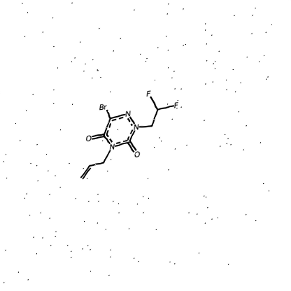 C=CCn1c(=O)c(Br)nn(CC(F)F)c1=O